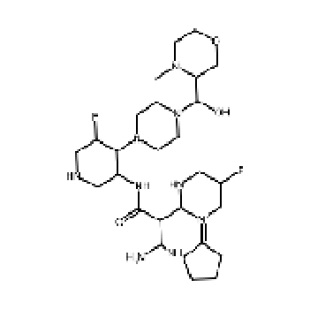 CN1CCOCC1C(O)N1CCN(C2C(F)CNCC2NC(=O)C(C(N)N)C2NCC(F)C[N+]2=C2CCCC2)CC1